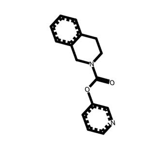 O=C(Oc1cccnc1)N1CCc2ccccc2C1